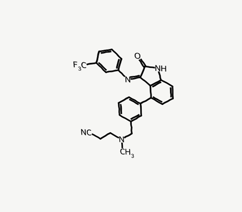 CN(CCC#N)Cc1cccc(-c2cccc3c2C(=Nc2cccc(C(F)(F)F)c2)C(=O)N3)c1